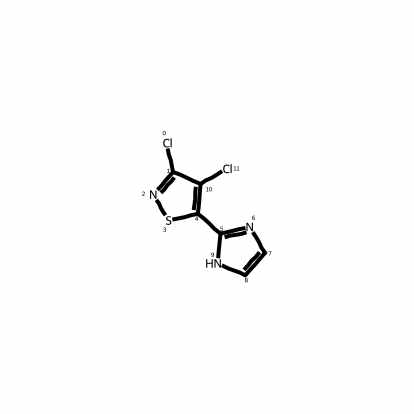 Clc1nsc(-c2ncc[nH]2)c1Cl